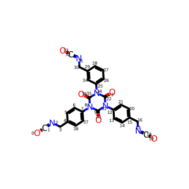 O=C=NCc1ccc(-n2c(=O)n(-c3ccc(CN=C=O)cc3)c(=O)n(-c3cccc(CN=C=O)c3)c2=O)cc1